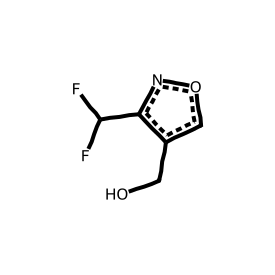 OCc1conc1C(F)F